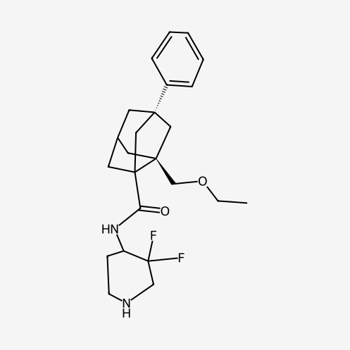 CCOC[C@]12CC3CC1(C(=O)NC1CCNCC1(F)F)C[C@@](c1ccccc1)(C3)C2